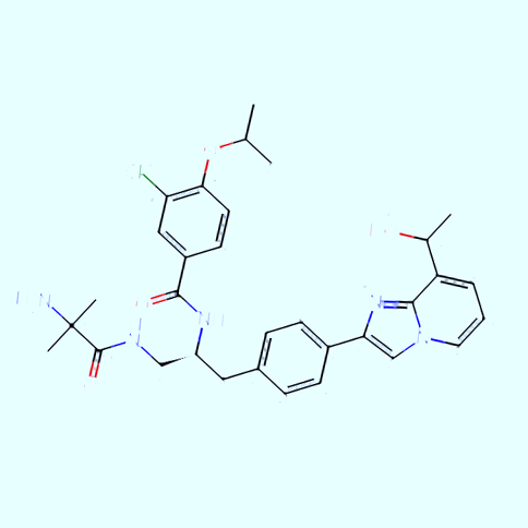 CC(C)Oc1ccc(C(=O)N[C@H](CNC(=O)C(C)(C)N)Cc2ccc(-c3cn4cccc(C(C)O)c4n3)cc2)cc1Cl